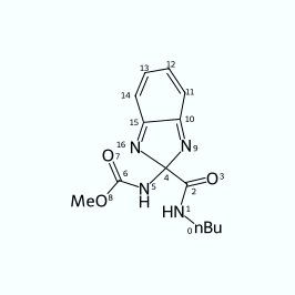 CCCCNC(=O)C1(NC(=O)OC)N=c2ccccc2=N1